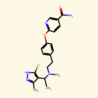 Cc1n[nH]c(Cl)c1C(C)N(C)CCc1ccc(Oc2ccc(C(N)=O)cn2)cc1